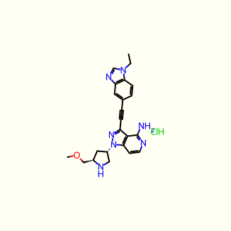 CCn1cnc2cc(C#Cc3nn([C@@H]4CN[C@@H](COC)C4)c4ccnc(N)c34)ccc21.Cl